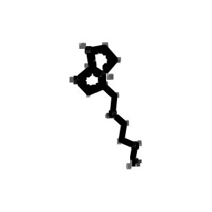 CC(C)OCCOCc1cnc2occn12